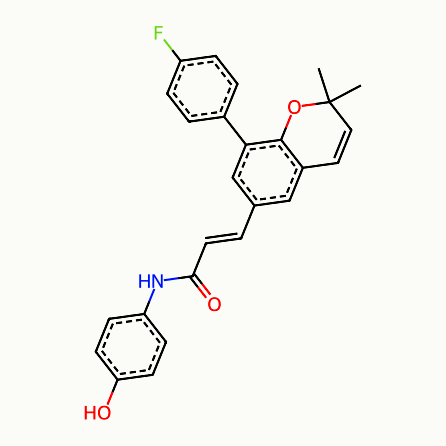 CC1(C)C=Cc2cc(/C=C/C(=O)Nc3ccc(O)cc3)cc(-c3ccc(F)cc3)c2O1